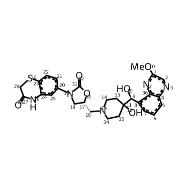 COc1cnc2cccc([C@H](O)C3(O)CCN(C[C@@H]4CN(c5ccc6c(c5)NC(=O)CS6)C(=O)O4)CC3)c2n1